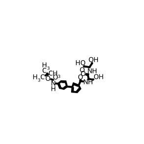 CC(C)(C)OC(=O)Nc1ccc(-c2cccc(C(=O)NC(CO)C(=O)NC(CO)C(=O)O)c2)cc1